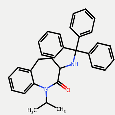 CC(C)N1C(=O)C(NC(c2ccccc2)(c2ccccc2)c2ccccc2)CCc2ccccc21